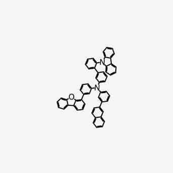 c1cc(-c2ccc3ccccc3c2)cc(N(c2cccc(-c3ccccc3-n3c4ccccc4c4ccccc43)c2)c2cccc(-c3cccc4c3oc3ccccc34)c2)c1